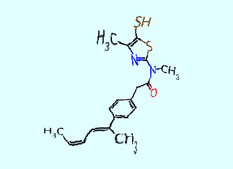 C/C=C\C=C(/C)c1ccc(CC(=O)N(C)c2nc(C)c(S)s2)cc1